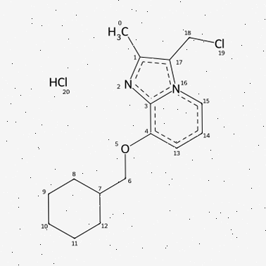 Cc1nc2c(OCC3CCCCC3)cccn2c1CCl.Cl